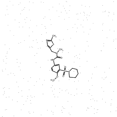 COc1ccc(NC(=O)N(C)Cc2cnc(C)s2)cc1S(=O)(=O)N1CCCCC1